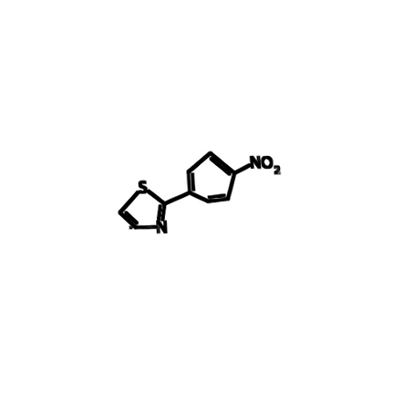 O=[N+]([O-])c1ccc(-c2n[c]cs2)cc1